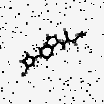 CCc1cc(-c2ccc3c(c2)OC[C@H]3NC(=O)OC(C)(C)C)no1